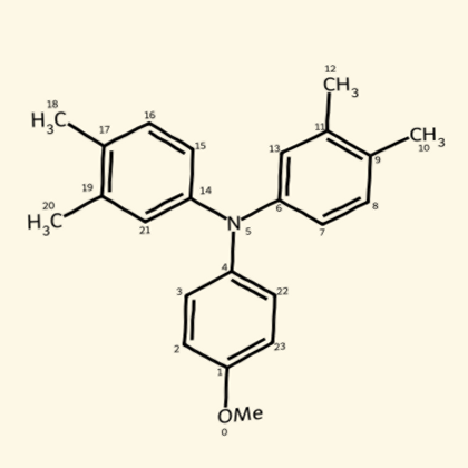 COc1ccc(N(c2ccc(C)c(C)c2)c2ccc(C)c(C)c2)cc1